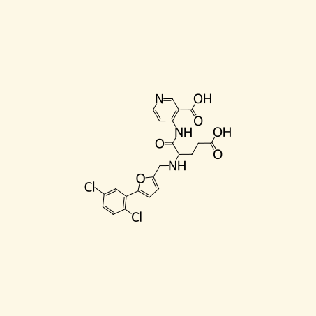 O=C(O)CCC(NCc1ccc(-c2cc(Cl)ccc2Cl)o1)C(=O)Nc1ccncc1C(=O)O